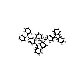 c1ccc(N(c2ccccc2)c2ccc(-n3c4ccccc4c4ccc5c(c6ccccc6n5-c5ccc(-n6c7ccccc7c7ccccc76)cc5)c43)cc2)cc1